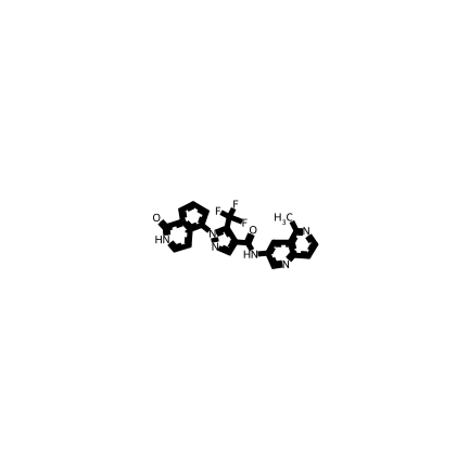 Cc1nccc2ncc(NC(=O)c3cnn(-c4cccc5c(=O)[nH]ccc45)c3C(F)(F)F)cc12